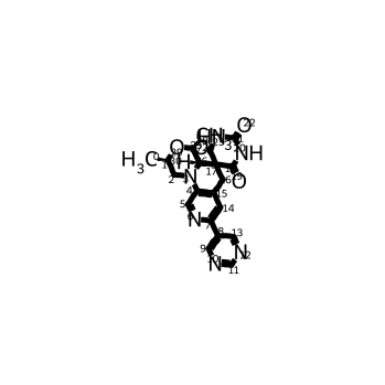 C[C@@H]1CN2c3cnc(-c4cncnc4)cc3CC3(C(=O)NC(=O)NC3=O)[C@H]2[C@H](C)O1